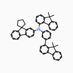 CC1(C)c2ccccc2-c2c(N(c3cccc(-c4cccc5c4C(C)(C)c4ccccc4-5)c3)c3ccc4c(c3)C3(CCCC3)c3ccccc3-4)cccc21